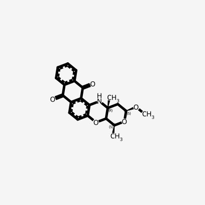 CO[C@@H]1C[C@@]2(C)Nc3c(ccc4c3C(=O)c3ccccc3C4=O)OC2[C@H](C)O1